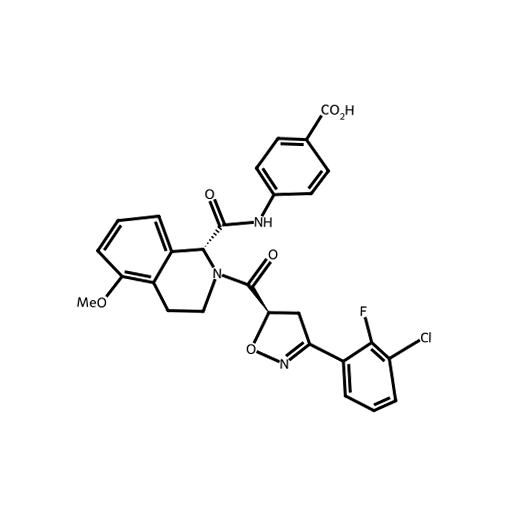 COc1cccc2c1CCN(C(=O)[C@H]1CC(c3cccc(Cl)c3F)=NO1)[C@H]2C(=O)Nc1ccc(C(=O)O)cc1